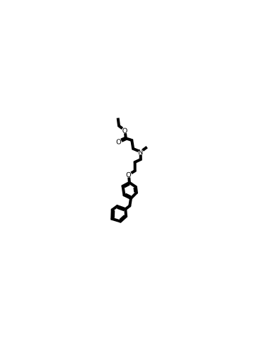 CCOC(=O)CCN(C)CCCOc1ccc(Cc2ccccc2)cc1